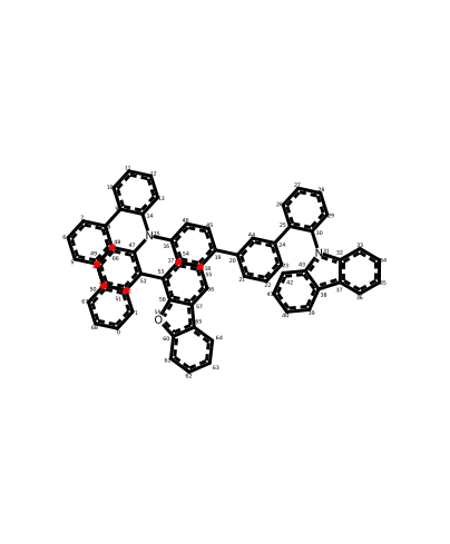 c1ccc(-c2cccc(-c3ccccc3N(c3ccc(-c4cccc(-c5ccccc5-n5c6ccccc6c6ccccc65)c4)cc3)c3ccccc3-c3cccc4c3oc3ccccc34)c2)cc1